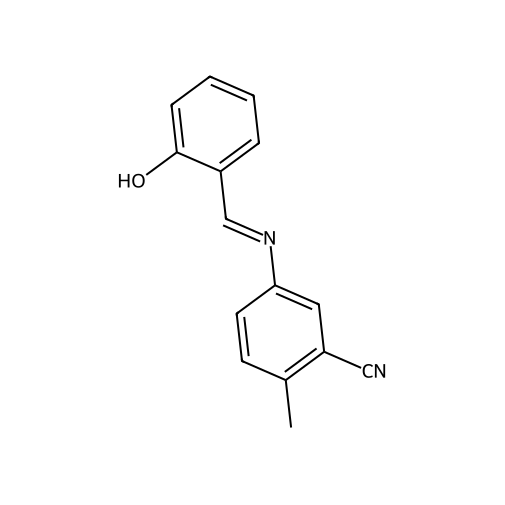 Cc1ccc(/N=C/c2ccccc2O)cc1C#N